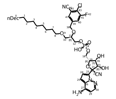 CCCCCCCCCCCCCCCCCCOC[C@H](COP(=O)(O)OC[C@H]1O[C@@](C#N)(c2ccc3c(N)ccnn23)[C@H](O)[C@@H]1O)OCc1cc(F)c(Cl)c(C#N)c1